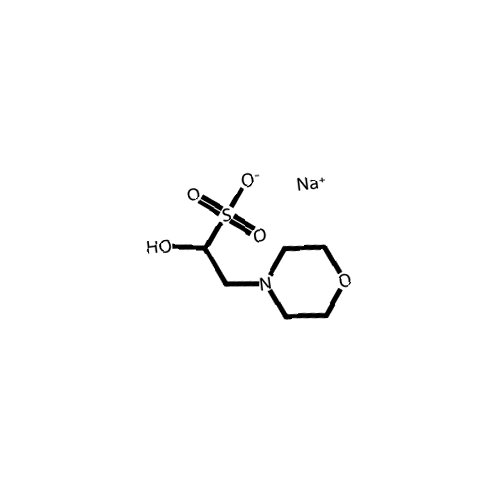 O=S(=O)([O-])C(O)CN1CCOCC1.[Na+]